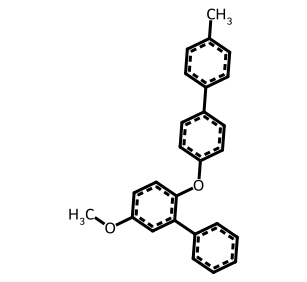 COc1ccc(Oc2ccc(-c3ccc(C)cc3)cc2)c(-c2ccccc2)c1